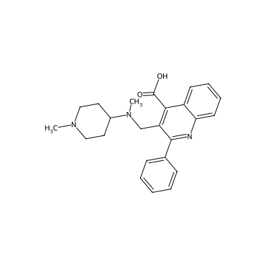 CN1CCC(N(C)Cc2c(-c3ccccc3)nc3ccccc3c2C(=O)O)CC1